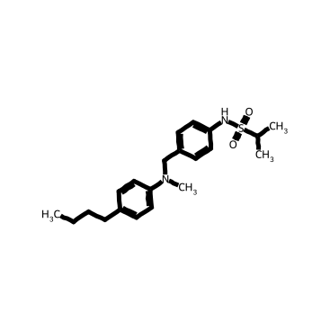 CCCCc1ccc(N(C)Cc2ccc(NS(=O)(=O)C(C)C)cc2)cc1